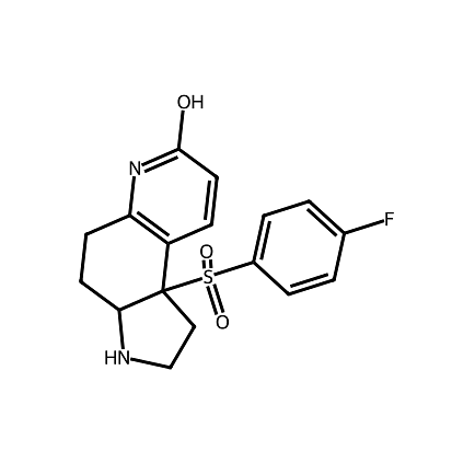 O=S(=O)(c1ccc(F)cc1)C12CCNC1CCc1nc(O)ccc12